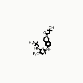 CC(C)(N)CNc1nc(Nc2ccc3c(c2)CCN(C(=O)CC(C)(C)O)C3)ncc1C(F)(F)F